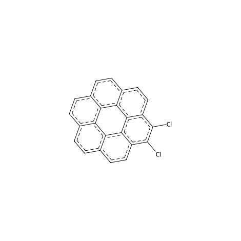 Clc1c(Cl)c2ccc3ccc4ccc5ccc6ccc1c1c6c5c4c3c21